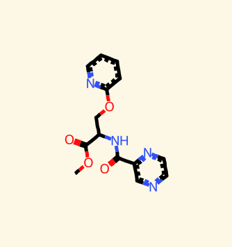 COC(=O)C(COc1ccccn1)NC(=O)c1cnccn1